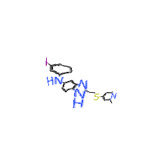 Cc1cc(SCc2nc3cc(Nc4cccc(I)c4)ccc3[nH]2)ccn1